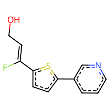 OCC=C(F)c1ccc(-c2cccnc2)s1